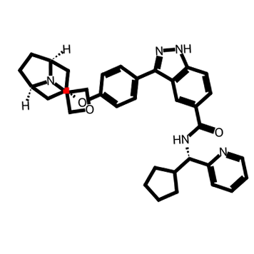 O=C(N[C@H](c1ccccn1)C1CCCC1)c1ccc2[nH]nc(-c3ccc(O[C@@H]4C[C@H]5CC[C@@H](C4)N5C4COC4)cc3)c2c1